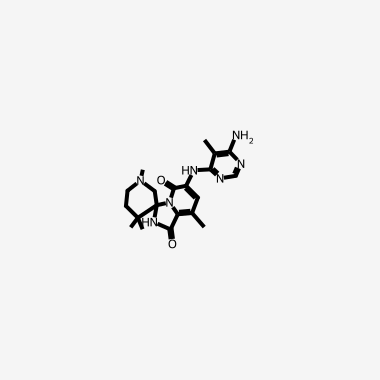 Cc1cc(Nc2ncnc(N)c2C)c(=O)n2c1C(=O)NC21CN(C)CCC1(C)C